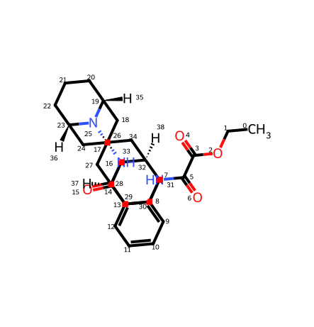 CCOC(=O)C(=O)Nc1ccccc1C(=O)N[C@H]1C[C@H]2CCC[C@@H](C1)N2[C@H]1C[C@@H]2CCC[C@@H](C2)C1